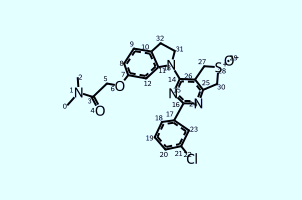 CN(C)C(=O)COc1ccc2c(c1)N(c1nc(-c3cccc(Cl)c3)nc3c1C[S+]([O-])C3)CC2